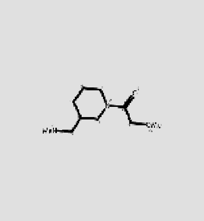 CNCC1CCCN(C(=O)COC)C1